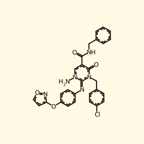 Nn1cc(C(=O)NCc2ccccc2)c(=O)n(Cc2ccc(Cl)cc2)/c1=N/c1ccc(Oc2ccon2)cc1